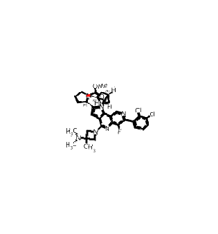 COC(=O)N1CCC[C@@H]1c1cc2c(N3CC(C)(N(C)C)C3)nc3c(F)c(-c4cccc(Cl)c4Cl)ncc3c2n1[C@H]1[C@H]2CN[C@@H]1C2